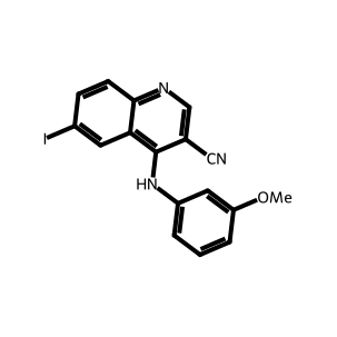 COc1cccc(Nc2c(C#N)cnc3ccc(I)cc23)c1